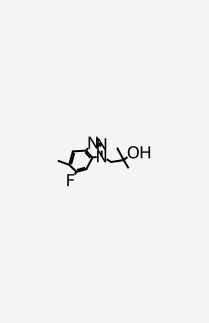 Cc1cc2nnn(CC(C)(C)O)c2cc1F